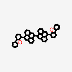 c1ccc2c(c1)oc1c(-c3cc4cccc5c(-c6cc7cccc8c(-c9cccc%10c9oc9ccccc9%10)cc9cccc6c9c78)cc6cccc3c6c45)cccc12